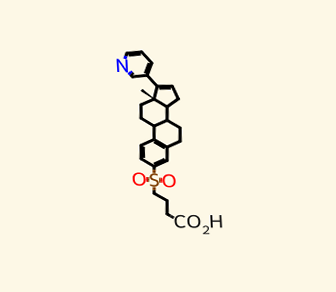 C[C@]12CCC3c4ccc(S(=O)(=O)CCCC(=O)O)cc4CCC3C1CC=C2c1cccnc1